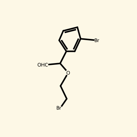 O=CC(OCCBr)c1cccc(Br)c1